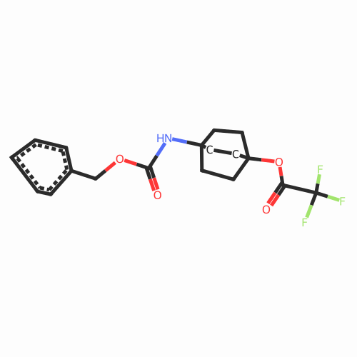 O=C(NC12CCC(OC(=O)C(F)(F)F)(CC1)CC2)OCc1ccccc1